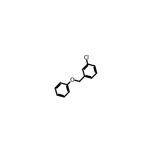 Clc1cccc(COc2[c]cccc2)c1